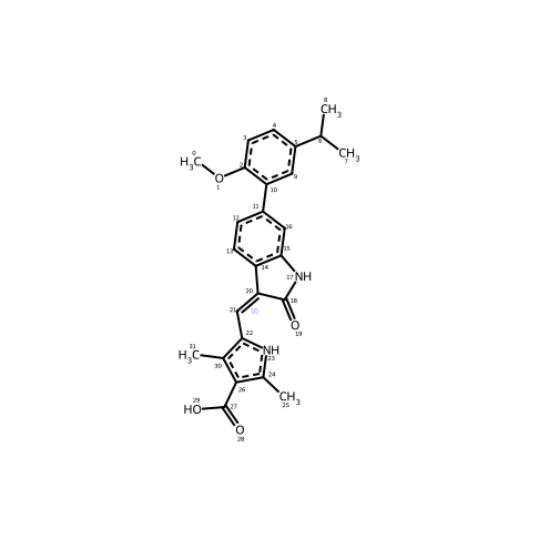 COc1ccc(C(C)C)cc1-c1ccc2c(c1)NC(=O)/C2=C\c1[nH]c(C)c(C(=O)O)c1C